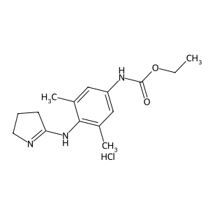 CCOC(=O)Nc1cc(C)c(NC2=NCCC2)c(C)c1.Cl